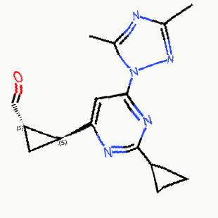 Cc1nc(C)n(-c2cc([C@H]3C[C@@H]3C=O)nc(C3CC3)n2)n1